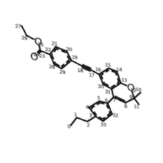 CCCc1ccc(C2=CC(C)(C)Oc3ccc(C#Cc4ccc(C(=O)OCC)cc4)cc32)cc1